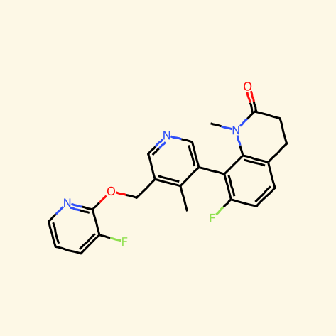 Cc1c(COc2ncccc2F)cncc1-c1c(F)ccc2c1N(C)C(=O)CC2